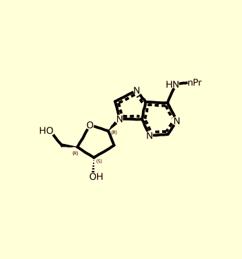 CCCNc1ncnc2c1ncn2[C@H]1C[C@H](O)[C@@H](CO)O1